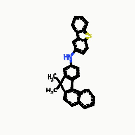 CC1(C)c2cc(Nc3ccc4sc5ccccc5c4c3)ccc2-c2c1ccc1ccccc21